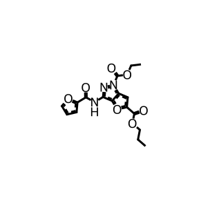 CCCOC(=O)c1cc2c(o1)c(NC(=O)c1ccco1)nn2C(=O)OCC